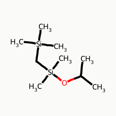 CC(C)O[Si](C)(C)C[Si](C)(C)C